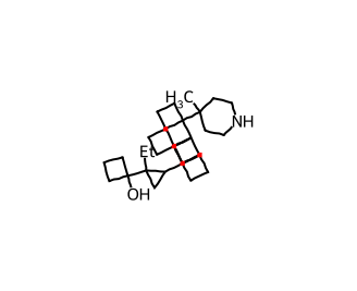 CCC1(C2(O)CCC2)CC1C1(C2(C3(C4(C5(C)CCNCC5)CCC4)CCC3)CCC2)CCC1